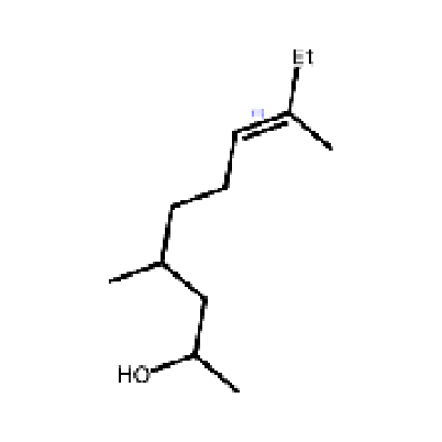 CC/C(C)=C/CCC(C)CC(C)O